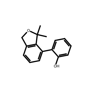 CC1(C)OCc2cccc(-c3ccccc3O)c21